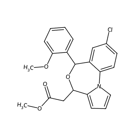 COC(=O)CC1OC(c2ccccc2OC)c2cc(Cl)ccc2-n2cccc21